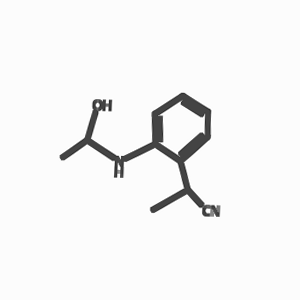 CC(O)Nc1ccccc1C(C)C#N